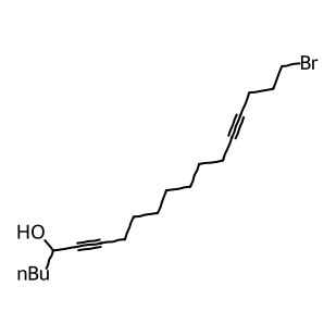 CCCCC(O)C#CCCCCCCCC#CCCCBr